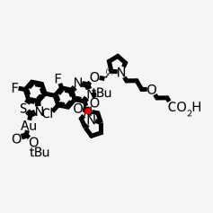 CC(C)(C)O[C](=O)[Au][c]1nc2c(-c3c(Cl)cc4c(N5CC6CCC(C5)N6C(=O)OC(C)(C)C)nc(OC[C@@H]5CCCN5CCCOCCC(=O)O)nc4c3F)ccc(F)c2s1